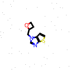 c1cc2c(ncn2CC2CCO2)s1